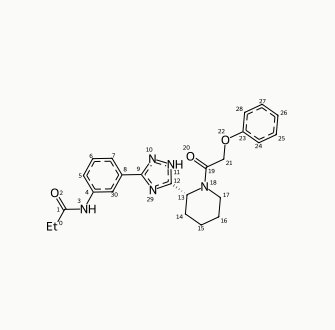 CCC(=O)Nc1cccc(-c2n[nH]c([C@H]3CCCCN3C(=O)COc3ccccc3)n2)c1